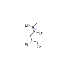 CC/C(C)=C(/CC)CC(CC)CBr